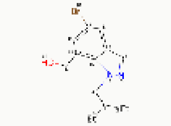 CCC(CC)Cn1ncc2cc(Br)cc(CO)c21